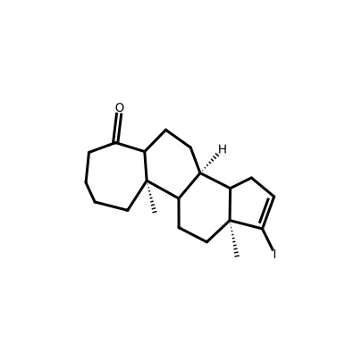 C[C@]12CCCCC(=O)C1CC[C@@H]1C2CC[C@]2(C)C(I)=CCC12